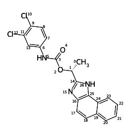 C[C@@H](OC(=O)Nc1ccc(Cl)c(Cl)c1)c1nc2ccc3ccccc3c2[nH]1